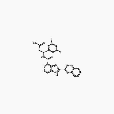 O=C(O)CC(NC(=O)c1cccc2[nH]c(-c3cc4ccccc4cn3)nc12)c1cc(F)cc(F)c1